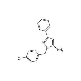 Nc1cc(-c2ccccc2)nn1Cc1ccc(Cl)cc1